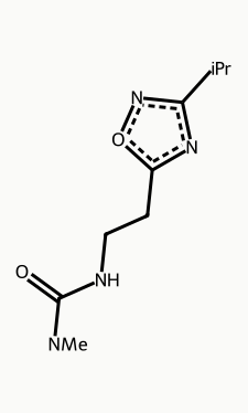 CNC(=O)NCCc1nc(C(C)C)no1